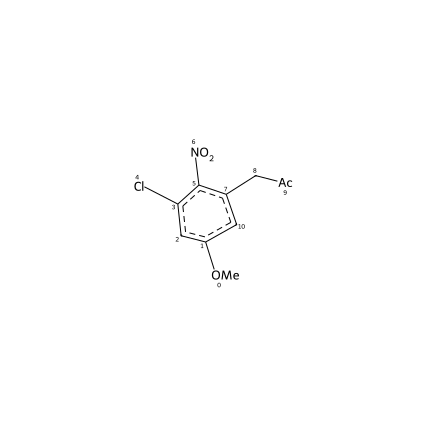 COc1cc(Cl)c([N+](=O)[O-])c(CC(C)=O)c1